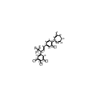 CC1=CN(c2ccc(/C=C/C(c3cc(Cl)c(Cl)c(Cl)c3)C(F)(F)F)cc2Cl)N=CCC1